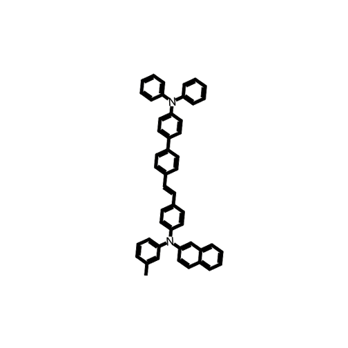 Cc1cccc(N(c2ccc(/C=C/c3ccc(-c4ccc(N(c5ccccc5)c5ccccc5)cc4)cc3)cc2)c2ccc3ccccc3c2)c1